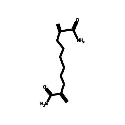 C=C(CCCCCCC(=C)C(N)=O)C(N)=O